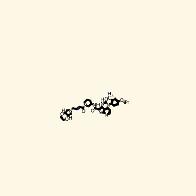 Cc1cc(OC(C)C)ccc1N1C(=O)Nc2c(C(=O)NC3CCCN(C(=O)/C=C/CN4C[C@@H]5OCCO[C@@H]5C4)C3)sc3nccc1c23